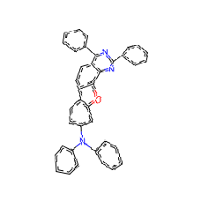 c1ccc(-c2nc(-c3ccccc3)c3ccc4c5ccc(N(c6ccccc6)c6ccccc6)cc5oc4c3n2)cc1